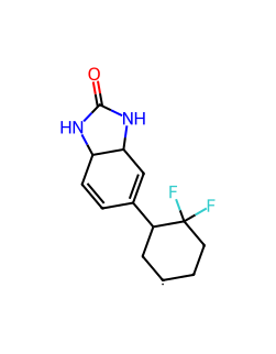 O=C1NC2C=CC(C3C[CH]CCC3(F)F)=CC2N1